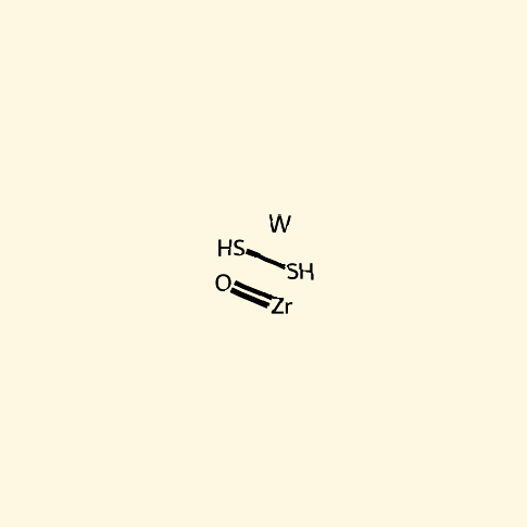 SS.[O]=[Zr].[W]